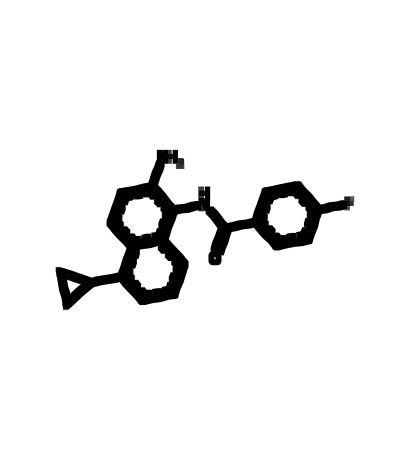 Nc1ccc2c(C3CC3)cccc2c1NC(=O)c1ccc(F)cc1